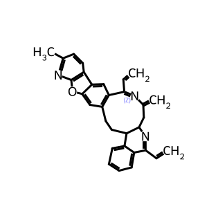 C=CC1=NC2CC(=C)/N=C(/C=C)c3cc4c(cc3CCC2c2ccccc21)oc1nc(C)ccc14